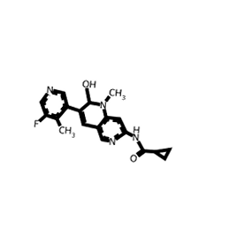 Cc1c(F)cncc1C1=Cc2cnc(NC(=O)C3CC3)cc2N(C)C1O